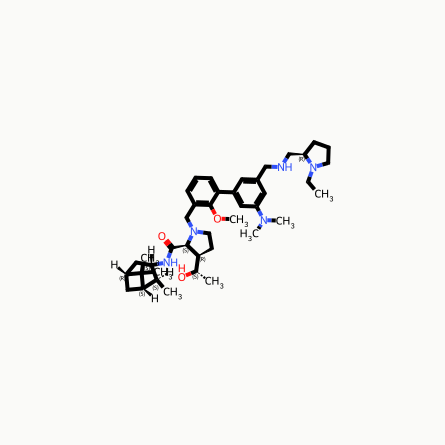 CCN1CCC[C@@H]1CNCc1cc(-c2cccc(CN3CC[C@@H]([C@H](C)O)[C@H]3C(=O)N[C@H]3C[C@H]4C[C@@H]([C@@H]3C)C4(C)C)c2OC)cc(N(C)C)c1